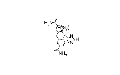 C=C(N)c1ccc2c(c1)Cc1cc(C(=C)N)ccc1C2(C[C@H](C)N)c1nn[nH]n1